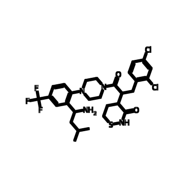 CC(C)CC(N)c1cc(C(F)(F)F)ccc1N1CCN(C(=O)C(Cc2ccc(Cl)cc2Cl)C2CCSNC2=O)CC1